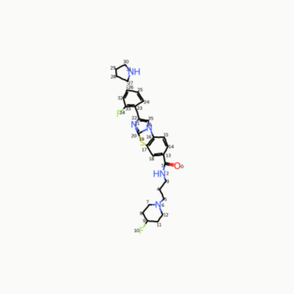 O=C(NCCCN1CCC(F)CC1)c1ccc2c(c1)sc1nc(-c3ccc([C@@H]4CCCN4)cc3F)cn12